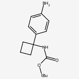 Bc1ccc(C2(NC(=O)OC(C)(C)C)CCC2)cc1